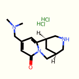 CN(C)Cc1cc2n(c(=O)c1)C[C@@H]1CNC[C@H]2C1.Cl.Cl